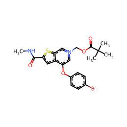 CNC(=O)c1cc2c(Oc3ccc(Br)cc3)c[n+](COC(=O)C(C)(C)C)cc2s1